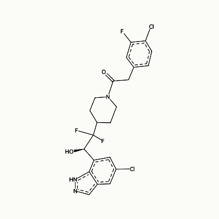 O=C(Cc1ccc(Cl)c(F)c1)N1CCC(C(F)(F)[C@H](O)c2cc(Cl)cc3cn[nH]c23)CC1